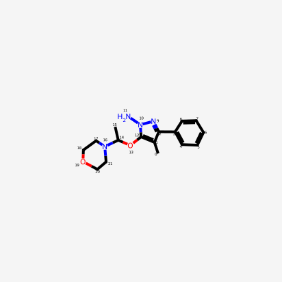 Cc1c(-c2ccccc2)nn(N)c1OC(C)N1CCOCC1